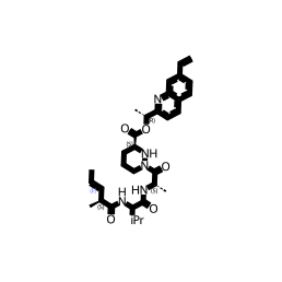 C=Cc1ccc2ccc([C@@H](C)OC(=O)[C@@H]3CCCN(C(=O)[C@H](C)NC(=O)C(NC(=O)[C@@H](C)/C=C/C)C(C)C)N3)nc2c1